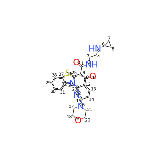 O=C(NCCNC1CC1)c1c(=O)c2ccc(N3CCOCC3)nc2n2c1sc1ccccc12